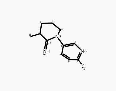 CC1CCCN(c2ccc(Cl)nc2)C1=N